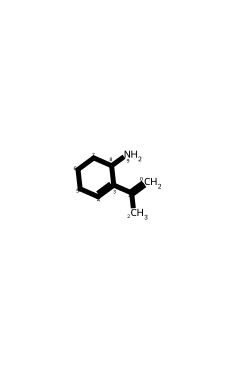 C=C(C)C1=CCCCC1N